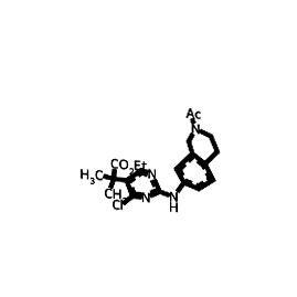 CCOC(=O)C(C)(C)c1cnc(Nc2ccc3c(c2)CN(C(C)=O)CC3)nc1Cl